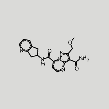 COCc1nn2c(C(=O)NC3Cc4cccnc4C3)ccnc2c1C(N)=O